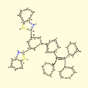 c1ccc(C(=C(c2ccccc2)c2cccc(-c3cc(-c4nc5ccccc5s4)cc(-c4nc5ccccc5s4)c3)c2)c2ccccc2)cc1